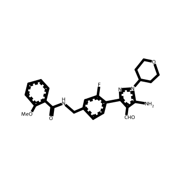 COc1ccccc1C(=O)NCc1ccc(-c2nn(C3CCOCC3)c(N)c2C=O)c(F)c1